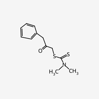 CN(C)C(=S)SCC(=O)Cc1ccccc1